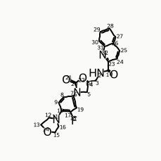 O=C(NC[C@H]1CN(c2ccc(N3CCOCC3)c(F)c2)C(=O)O1)c1ccc2ccccc2n1